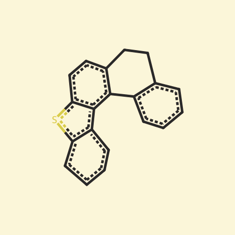 c1ccc2c(c1)CCc1ccc3sc4ccccc4c3c1-2